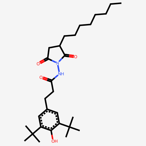 CCCCCCCCC1CC(=O)N(NC(=O)CCc2cc(C(C)(C)C)c(O)c(C(C)(C)C)c2)C1=O